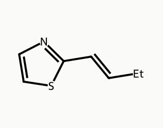 CC/C=C/c1nccs1